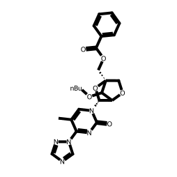 CCCCOC1C2OC[C@]1(COC(=O)c1ccccc1)O[C@H]2n1cc(C)c(-n2cncn2)nc1=O